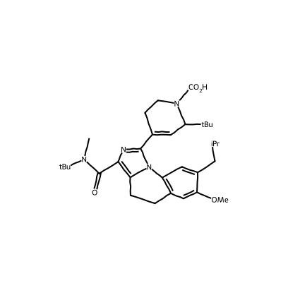 COc1cc2c(cc1CC(C)C)-n1c(C3=CC(C(C)(C)C)N(C(=O)O)CC3)nc(C(=O)N(C)C(C)(C)C)c1CC2